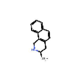 O=C(O)C1Cc2ccc3ccccc3c2CN1